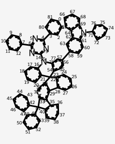 c1ccc(-c2nc(-c3ccccc3)nc(N3c4ccccc4C4(c5ccccc5-c5c4ccc4c5-c5ccccc5C4(c4ccccc4)c4ccccc4)c4ccc(-c5ccc6c(c5)c5ccccc5n6-c5ccccc5)cc43)n2)cc1